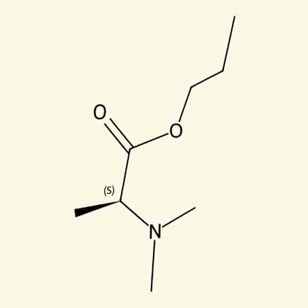 CCCOC(=O)[C@H](C)N(C)C